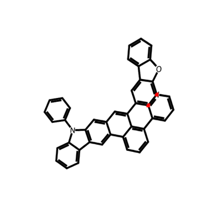 c1ccc(-n2c3ccccc3c3cc4c(cc(-c5ccc6oc7ccccc7c6c5)c5c(-c6cccnc6)cccc54)cc32)cc1